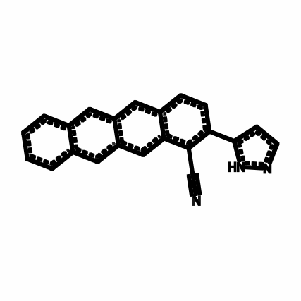 N#Cc1c(-c2ccn[nH]2)ccc2cc3cc4ccccc4cc3cc12